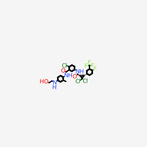 Cc1cc(NCCO)ccc1NC(=O)c1cc(NC(=O)[C@H]2[C@H](c3ccc(F)c(C(F)(F)F)c3)C2(Cl)Cl)ccc1Cl